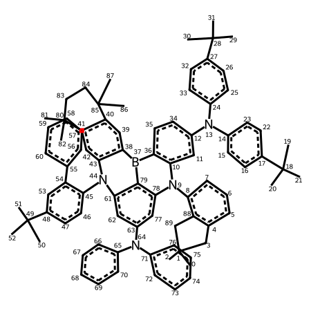 CC1(C)Cc2cccc(N3c4cc(N(c5ccc(C(C)(C)C)cc5)c5ccc(C(C)(C)C)cc5)ccc4B4c5cc6c(cc5N(c5ccc(C(C)(C)C)cc5-c5ccccc5)c5cc(N(c7ccccc7)c7ccccc7)cc3c54)C(C)(C)CCC6(C)C)c2C1